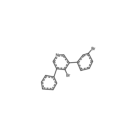 Brc1cccc(-c2cncc(-c3ccccc3)c2Br)c1